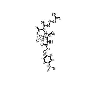 C=C1C[S+]([O-])[C@H]2C(NC(=O)COc3ccc(C(C)C)cc3)C(=O)N2C1C(=O)OCOC(C)=O